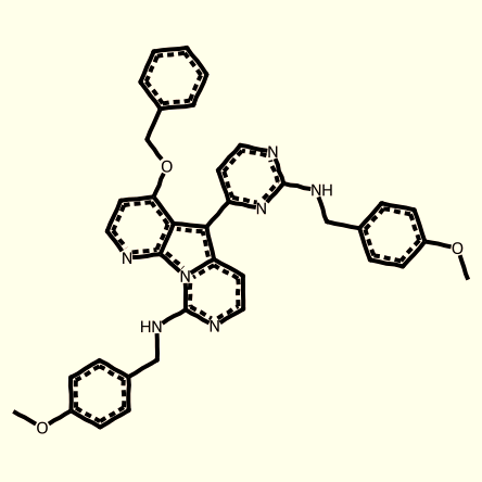 COc1ccc(CNc2nccc(-c3c4c(OCc5ccccc5)ccnc4n4c(NCc5ccc(OC)cc5)nccc34)n2)cc1